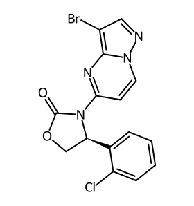 O=C1OC[C@H](c2ccccc2Cl)N1c1ccn2ncc(Br)c2n1